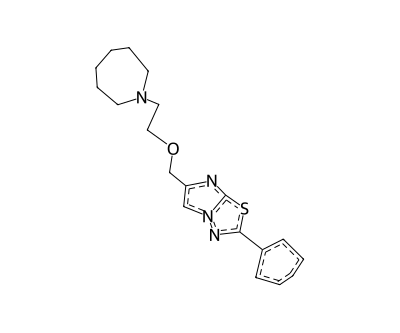 c1ccc(-c2nn3cc(COCCN4CCCCCC4)nc3s2)cc1